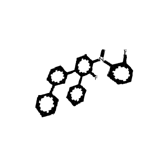 CN(c1ccccc1F)c1ccc(-c2cccc(-c3ccccc3)c2)c(-c2ccccc2)c1F